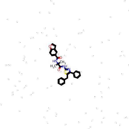 CC(C)(NC(=O)c1ccc2occc2c1)C(=O)Nc1nc(-c2ccccc2)c(Cc2ccccc2)s1